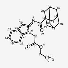 CCOC(=O)Cn1/c(=N\C(=O)C23CC4CC(CC(C4)C2)C3)sc2ccccc21